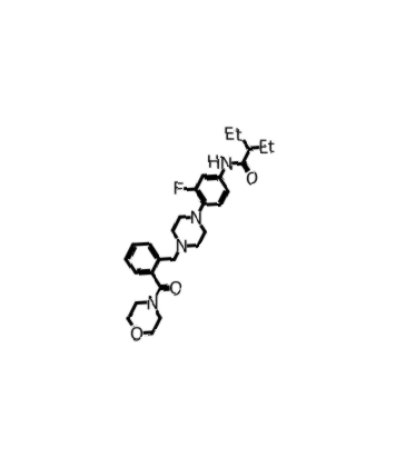 CCC(CC)C(=O)Nc1ccc(N2CCN(Cc3ccccc3C(=O)N3CCOCC3)CC2)c(F)c1